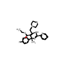 CCOC(=O)C1=C(CN2CCSCC2)NC(c2ccccn2)=NC1(C)c1ccc(F)cc1